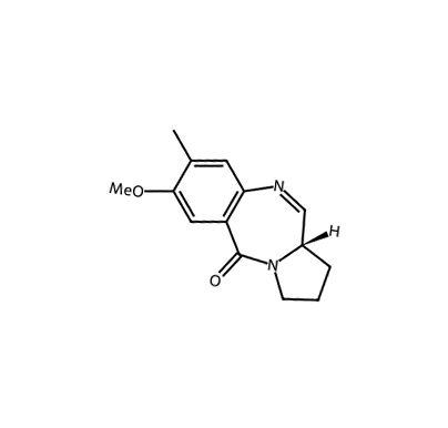 COc1cc2c(cc1C)N=C[C@@H]1CCCN1C2=O